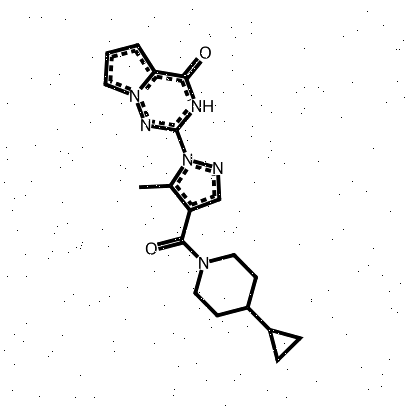 Cc1c(C(=O)N2CCC(C3CC3)CC2)cnn1-c1nn2cccc2c(=O)[nH]1